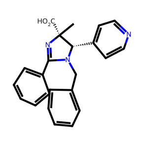 C[C@]1(C(=O)O)N=C(c2ccccc2)N(Cc2ccccc2)[C@H]1c1ccncc1